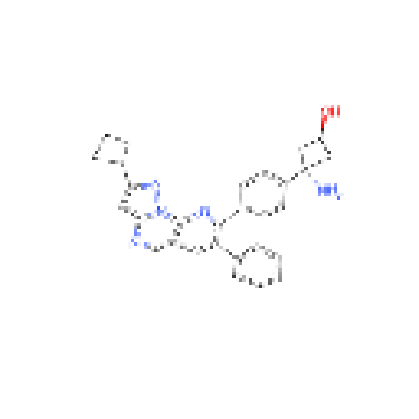 N[C@]1(c2ccc(-c3nc4c(cnc5cc(C6CCC6)nn54)cc3-c3ccccc3)cc2)C[C@@H](O)C1